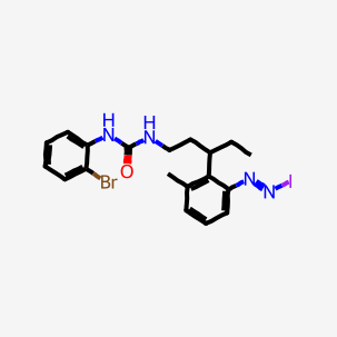 CCC(CCNC(=O)Nc1ccccc1Br)c1c(C)cccc1N=NI